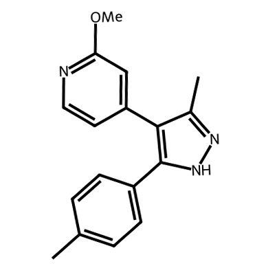 COc1cc(-c2c(C)n[nH]c2-c2ccc(C)cc2)ccn1